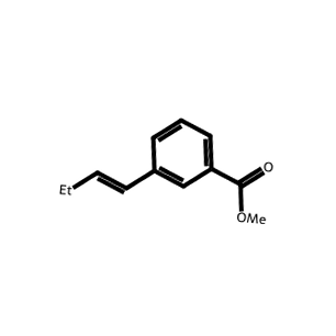 CCC=Cc1cccc(C(=O)OC)c1